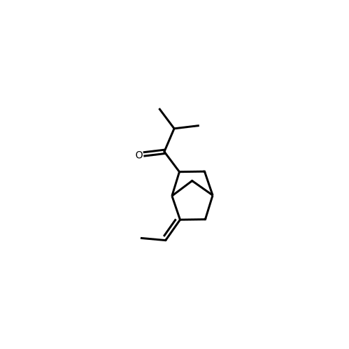 CC=C1CC2CC(C(=O)C(C)C)C1C2